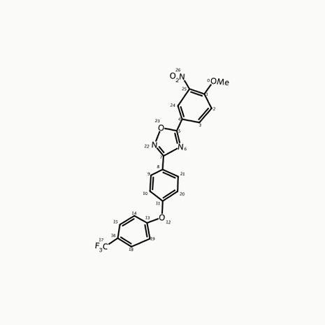 COc1ccc(-c2nc(-c3ccc(Oc4ccc(C(F)(F)F)cc4)cc3)no2)cc1[N+](=O)[O-]